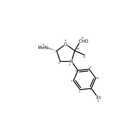 CCc1ccc(N2C[C@H](NC)OC2(C)C=O)cc1